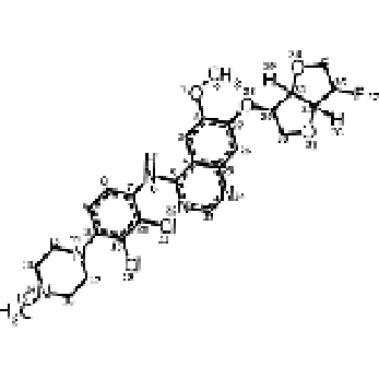 COc1cc2c(Nc3ccc(N4CCN(C)CC4)c(Cl)c3Cl)ncnc2cc1O[C@@H]1CO[C@@H]2[C@H]1OC[C@H]2F